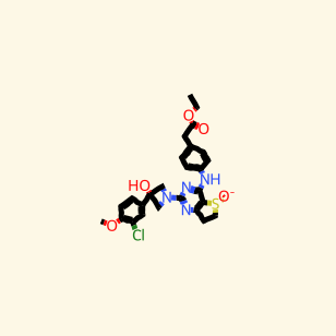 CCOC(=O)Cc1ccc(Nc2nc(N3CC(O)(c4ccc(OC)c(Cl)c4)C3)nc3c2[S@+]([O-])CC3)cc1